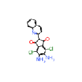 Nc1c(N)c(Cl)c2c(c1Cl)C(=O)C(c1ccc3ccccc3n1)C2=O